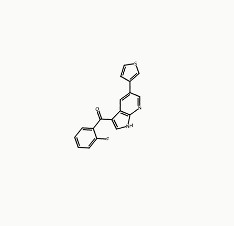 O=C(c1ccccc1F)c1c[nH]c2ncc(-c3ccsc3)cc12